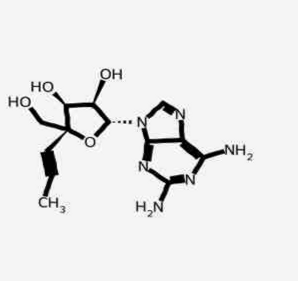 CC#C[C@]1(CO)O[C@@H](n2cnc3c(N)nc(N)nc32)[C@H](O)[C@@H]1O